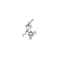 C=CCON1C(C)(C)CC(N(CCCC)c2nc(Cl)nc(Cl)n2)CC1(C)C